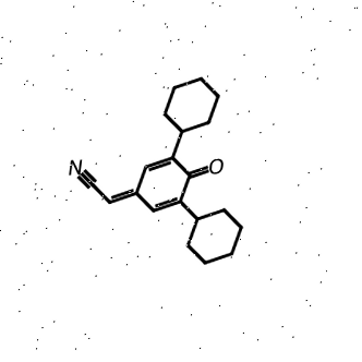 N#CC=C1C=C(C2CCCCC2)C(=O)C(C2CCCCC2)=C1